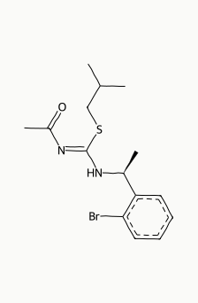 CC(=O)/N=C(/N[C@@H](C)c1ccccc1Br)SCC(C)C